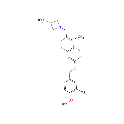 CC1=C(CN2CC(C(=O)O)C2)CCc2cc(OCc3ccc(OC(C)C)c(C(F)(F)F)c3)ccc21